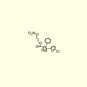 O=C(OCCCO[N+](=O)[O-])c1onc(-c2ccc(Cl)o2)c1-c1ccccc1